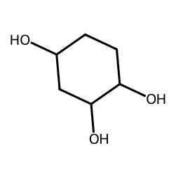 OC1CCC(O)C(O)C1